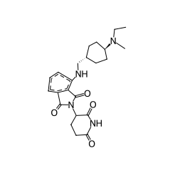 CCN(C)[C@H]1CC[C@H](CNc2cccc3c2C(=O)N(C2CCC(=O)NC2=O)C3=O)CC1